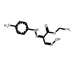 CCOC(=O)C(/C=N\O)=N\Nc1ccc(C)cc1